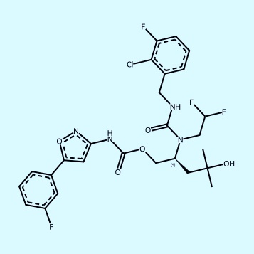 CC(C)(O)C[C@@H](COC(=O)Nc1cc(-c2cccc(F)c2)on1)N(CC(F)F)C(=O)NCc1cccc(F)c1Cl